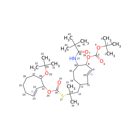 CC(C)(C)OC(=O)OC1/C=C/CC(CC(C)(C)SC(=O)OC2/C=C/CCCCC2OC(C)(C)C)CCC1NC(=O)C(C)(C)C